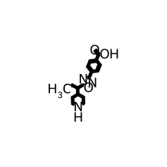 CCC(c1nc(-c2ccc(C(=O)O)cc2)no1)C1CCNCC1